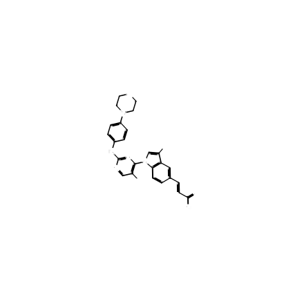 Cc1cn(-c2nc(Nc3ccc(N4CCOCC4)cc3)ncc2F)c2ccc(C=CC(N)=O)cc12